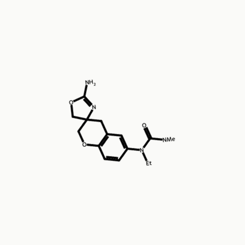 CCN(C(=O)NC)c1ccc2c(c1)CC1(COC(N)=N1)CO2